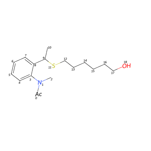 CC(=O)N(C)c1ccccc1C(C)SCCCCCCO